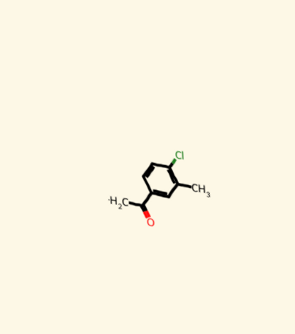 [CH2]C(=O)c1ccc(Cl)c(C)c1